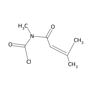 CC(C)=CC(=O)N(C)C(=O)Cl